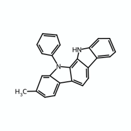 Cc1ccc2c3ccc4c5ccccc5[nH]c4c3n(-c3ccccc3)c2c1